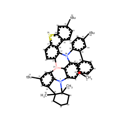 Cc1cc2c3c(c1)N1c4c(cc(C(C)(C)C)cc4C4(C)CCCCC14C)B3c1ccc3sc4cc(C(C)(C)C)ccc4c3c1N2c1ccc(C(C)(C)C)cc1-c1ccccc1